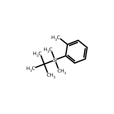 Cc1ccccc1[Si](C)(C)C(C)(C)C